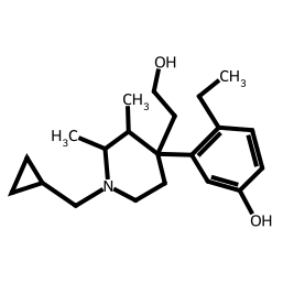 CCc1ccc(O)cc1C1(CCO)CCN(CC2CC2)C(C)C1C